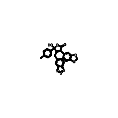 Cc1ccc(C2(O)OC(=O)C(c3ccc4c(c3)OCO4)=C2Cc2ccc3nsnc3c2)cc1